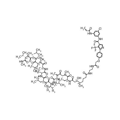 C=CC(=O)Nc1cc(Cl)cc(NC(=O)c2cnn(-c3ccc(OCC(=O)NCCNC(=O)CCC[C@@H](C)[C@@H](O)CC(=O)N[C@@H](CC)C(=O)N(C)CC(=O)N(C)[C@@H](CC(C)C)C(=O)N[C@H](C(=O)N(C)[C@@H](CC(C)C)C(=O)NC(C)C(=O)N[C@H](C)C(=O)N(C)[C@@H](CC(C)C)C(=O)N(C)[C@@H](CC(C)C)C(=O)N(C)[C@H](C(=O)NC)C(C)C)C(C)C)cc3)c2C(F)(F)F)c1